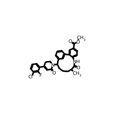 COC(=O)c1ccc2c(c1)-c1cccc(c1)C(N1CCC(c3cccc(Cl)c3F)=CC1=O)CCCC(C)C(=O)N2